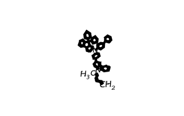 C=C/C=C\C=C(/C)n1c2ccccc2c2cc(-c3ccc(N(c4ccc(-c5ccccc5)cc4)c4ccc5c(c4)C(c4ccccc4)(c4ccccc4)c4ccccc4-5)cc3)ccc21